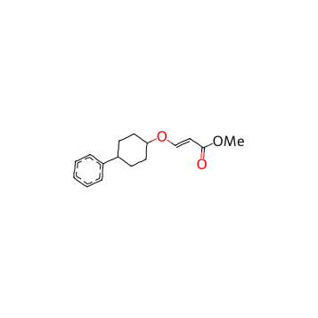 COC(=O)/C=C/OC1CCC(c2ccccc2)CC1